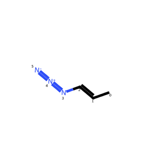 CC=CN=[N+]=[N-]